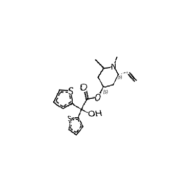 C=C[C@@H]1C[C@@H](OC(=O)C(O)(c2cccs2)c2cccs2)CC(C)N1C